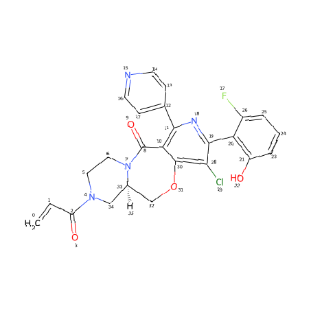 C=CC(=O)N1CCN2C(=O)c3c(-c4ccncc4)nc(-c4c(O)cccc4F)c(Cl)c3OC[C@H]2C1